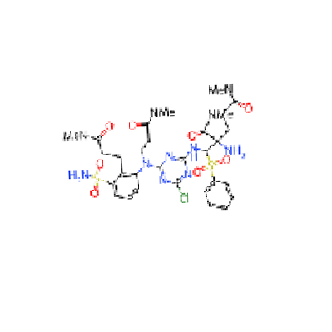 CNC(=O)CCc1c(N(CCC(=O)NC)c2nc(Cl)nc(NC(C(N)(CCC(=O)NC)C(=O)NC)S(=O)(=O)c3ccccc3)n2)cccc1S(N)(=O)=O